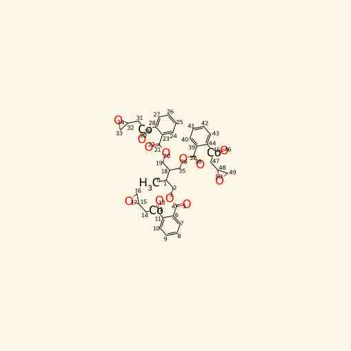 CC(COC(=O)c1cccc[c]1[Co](=[O])[CH2]C1CO1)C(COC(=O)c1cccc[c]1[Co](=[O])[CH2]C1CO1)COC(=O)c1cccc[c]1[Co](=[O])[CH2]C1CO1